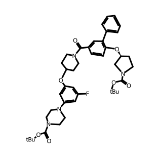 CC(C)(C)OC(=O)N1CCN(c2cc(F)cc(OC3CCN(C(=O)c4ccc(O[C@H]5CCN(C(=O)OC(C)(C)C)C5)c(-c5ccccc5)c4)CC3)c2)CC1